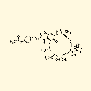 CO[C@H]1/C=C\C=C(/C)C(=O)NC2=CC(=O)C(NC(=O)OCc3ccc(OC(C)=O)cc3)=C(C[C@@H](C)C[C@H](OC)[C@H](O)[C@@H](C)/C=C(\CO)[C@@H]1OC(N)=O)C2=O